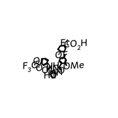 CC[C@]1(C(=O)O)CC[C@@H](Oc2cc(C(=O)N[C@@H]3[C@@H]4CC[C@@H](C4)[C@@H]3C(=O)Nc3cccc(S(=O)(=O)C(F)(F)F)c3)c(OC)cc2F)CC1